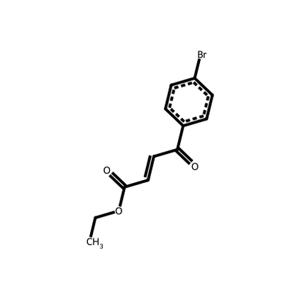 CCOC(=O)C=CC(=O)c1ccc(Br)cc1